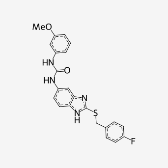 COc1cccc(NC(=O)Nc2ccc3[nH]c(SCc4ccc(F)cc4)nc3c2)c1